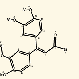 CCOc1cc(C(=CC(=O)CC)c2ccc(OC)c(OC)c2)ccc1OC